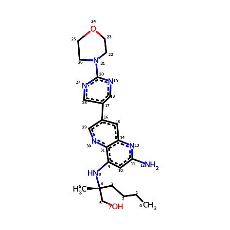 CCCC[C@](C)(CO)Nc1cc(N)nc2cc(-c3cnc(N4CCOCC4)nc3)cnc12